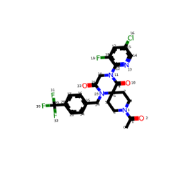 CC(=O)N1CCC2(CC1)C(=O)N(c1ncc(Cl)cc1F)CC(=O)N2Cc1ccc(C(F)(F)F)cc1